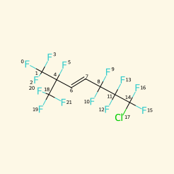 FC(F)(F)C(F)(C=CC(F)(F)C(F)(F)C(F)(F)Cl)C(F)(F)F